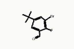 CC(C)(C)c1cc(Br)c(F)c(C=O)c1